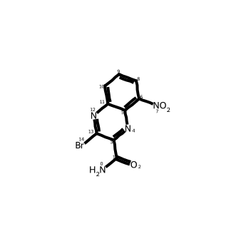 NC(=O)c1nc2c([N+](=O)[O-])cccc2nc1Br